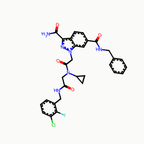 NC(=O)c1nn(CC(=O)N(CC(=O)NCc2cccc(Cl)c2F)C2CC2)c2cc(C(=O)NCc3ccccc3)ccc12